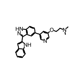 CN(C)CCOc1cncc(-c2ccc3[nH]nc(-c4cc5ccccc5[nH]4)c3c2)c1